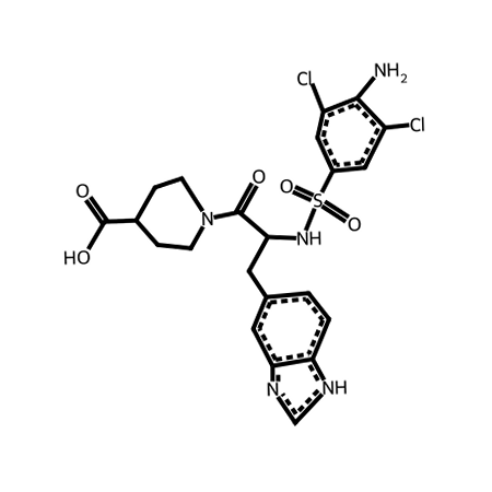 Nc1c(Cl)cc(S(=O)(=O)NC(Cc2ccc3[nH]cnc3c2)C(=O)N2CCC(C(=O)O)CC2)cc1Cl